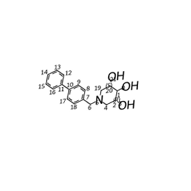 OC1[C@H](O)CN(Cc2ccc(-c3ccccc3)cc2)C[C@@H]1O